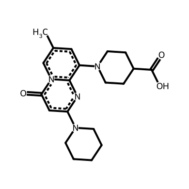 Cc1cc(N2CCC(C(=O)O)CC2)c2nc(N3CCCCC3)cc(=O)n2c1